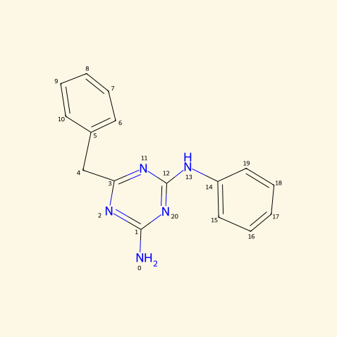 Nc1nc(Cc2ccccc2)nc(Nc2ccccc2)n1